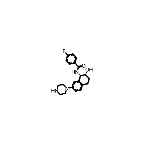 O=C(N[C@H]1c2cc(N3CCNCC3)ccc2CC[C@@H]1O)c1ccc(F)cc1